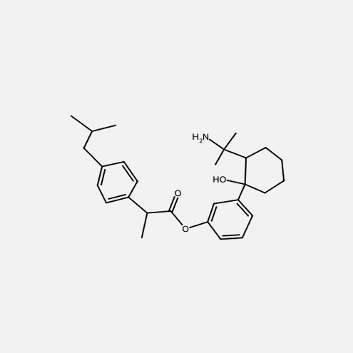 CC(C)Cc1ccc(C(C)C(=O)Oc2cccc(C3(O)CCCCC3C(C)(C)N)c2)cc1